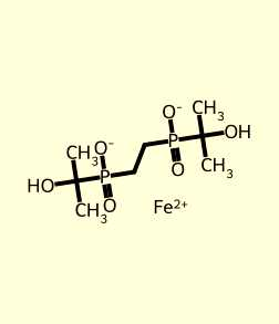 CC(C)(O)P(=O)([O-])CCP(=O)([O-])C(C)(C)O.[Fe+2]